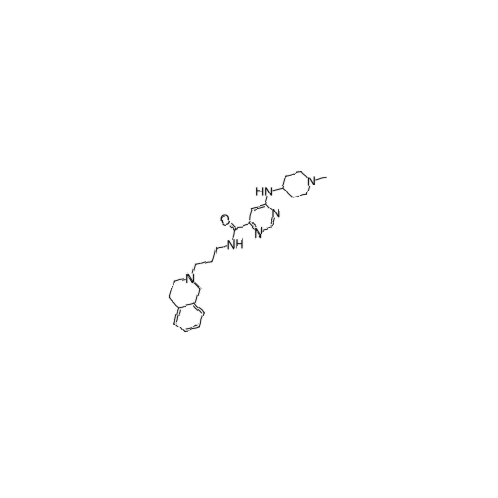 CN1CCC(Nc2cc(C(=O)NCCCN3CCc4ccccc4C3)ncn2)CC1